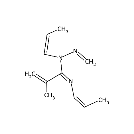 C=NN(/C=C\C)/C(=N/C=C\C)C(=C)C